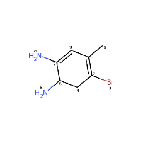 CC1=C(Br)CC(N)C(N)=C1